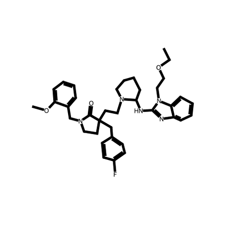 CCOCCn1c(NC2CCCCN2CCC2(Cc3ccc(F)cc3)CCN(Cc3ccccc3OC)C2=O)nc2ccccc21